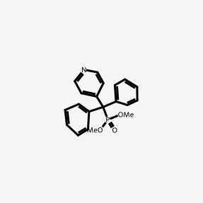 COP(=O)(OC)C(c1ccccc1)(c1ccccc1)c1ccncc1